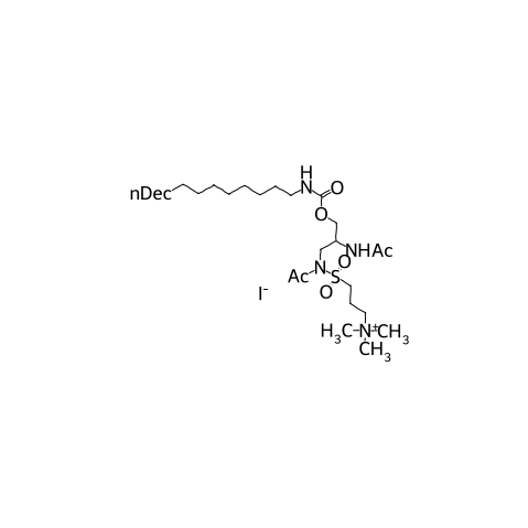 CCCCCCCCCCCCCCCCCCNC(=O)OCC(CN(C(C)=O)S(=O)(=O)CCC[N+](C)(C)C)NC(C)=O.[I-]